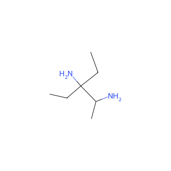 CCC(N)(CC)C(C)N